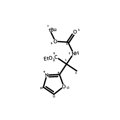 CCOC(=O)C(C)(NC(=O)OC(C)(C)C)c1ncco1